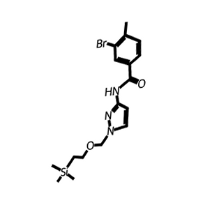 Cc1ccc(C(=O)Nc2ccn(COCC[Si](C)(C)C)n2)cc1Br